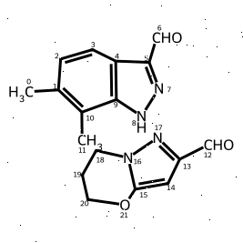 Cc1ccc2c(C=O)n[nH]c2c1C.O=Cc1cc2n(n1)CCCO2